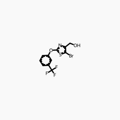 OCc1nc(Oc2cccc(C(F)(F)F)c2)sc1Br